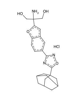 Cl.NC(CO)(CO)c1cc2cc(-c3noc(C45CC6CC(CC(C6)C4)C5)n3)ccc2o1